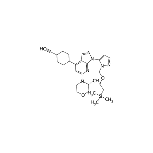 C#CC1CCC(c2cc(N3CCOC[C@H]3C)nc3c2cnn3-c2ccnn2COCC[Si](C)(C)C)CC1